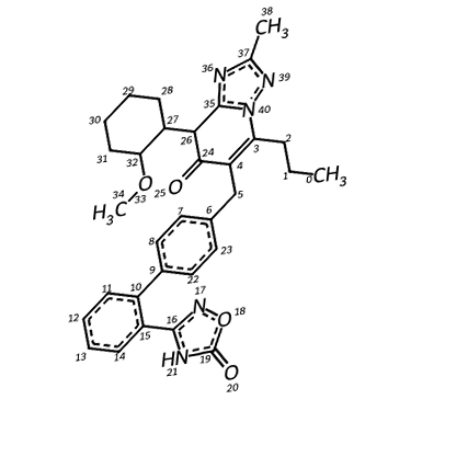 CCCC1=C(Cc2ccc(-c3ccccc3-c3noc(=O)[nH]3)cc2)C(=O)C(C2CCCCC2OC)c2nc(C)nn21